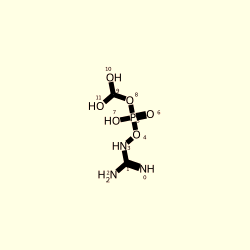 N=C(N)NOP(=O)(O)OC(O)O